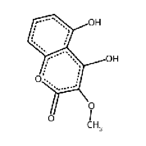 COc1c(O)c2c(O)cccc2oc1=O